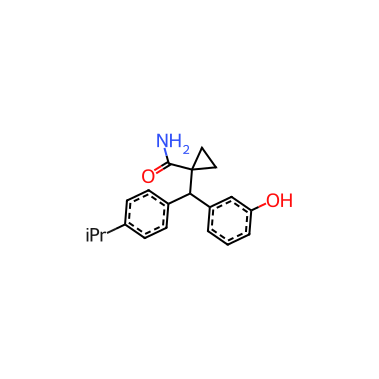 CC(C)c1ccc(C(c2cccc(O)c2)C2(C(N)=O)CC2)cc1